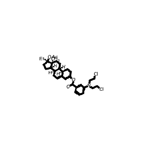 CC[C@]1(OC(C)=O)CC[C@H]2[C@@H]3CC=C4C=C(OC(=O)c5cccc(N(CCCl)CCCl)c5)CC[C@@H]4[C@H]3CC[C@@]21C